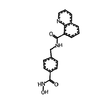 O=C(NO)c1ccc(CNC(=O)c2cccc3cccnc23)cc1